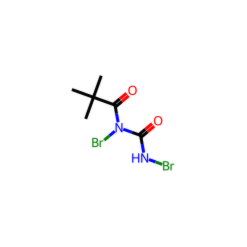 CC(C)(C)C(=O)N(Br)C(=O)NBr